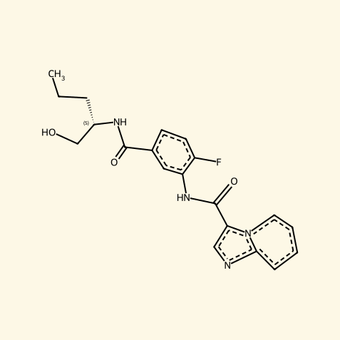 CCC[C@@H](CO)NC(=O)c1ccc(F)c(NC(=O)c2cnc3ccccn23)c1